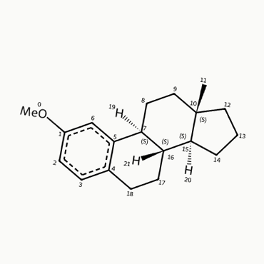 COc1ccc2c(c1)[C@H]1CC[C@]3(C)CCC[C@H]3[C@@H]1CC2